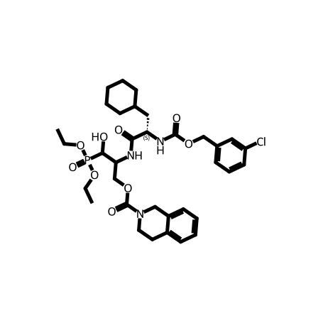 CCOP(=O)(OCC)C(O)C(COC(=O)N1CCc2ccccc2C1)NC(=O)[C@H](CC1CCCCC1)NC(=O)OCc1cccc(Cl)c1